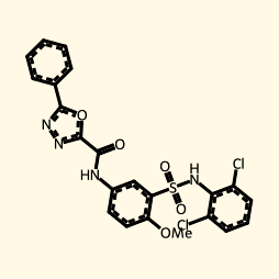 COc1ccc(NC(=O)c2nnc(-c3ccccc3)o2)cc1S(=O)(=O)Nc1c(Cl)cccc1Cl